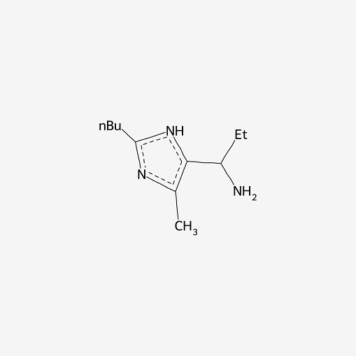 CCCCc1nc(C)c(C(N)CC)[nH]1